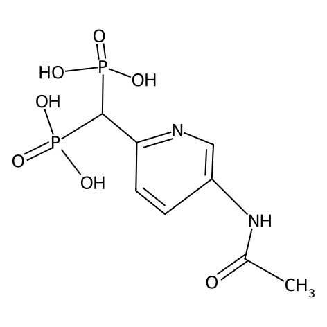 CC(=O)Nc1ccc(C(P(=O)(O)O)P(=O)(O)O)nc1